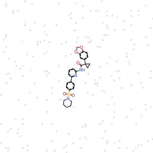 O=C(Nc1cccc(-c2ccc(S(=O)(=O)N3CCCCC3)cc2)n1)C1(c2ccc3c(c2)OCO3)CC1